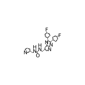 O=C(NCc1cccnc1)NCc1cnc2nc(-c3ccc(F)cc3)c(-c3ccc(F)cc3)nc2c1